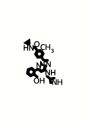 Cc1cc(-c2cnc3c(NCC4CNC4)cc(-c4ccccc4CO)nn23)ccc1C(=O)NC1CC1